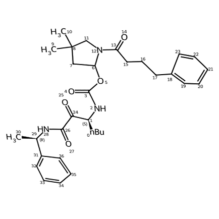 CCCC[C@H](NC(=O)OC1CC(C)(C)CN1C(=O)CCCc1ccccc1)C(=O)C(=O)N[C@H](C)c1ccccc1